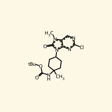 Cn1c(=O)n(C2CCC(C)(NC(=O)OC(C)(C)C)CC2)c2nc(Cl)ncc21